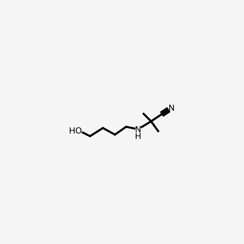 CC(C)(C#N)NCCCCO